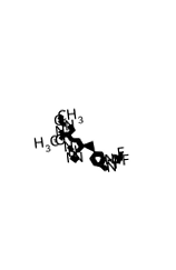 COc1ncc(-c2cc([C@H]3C[C@@H]3c3ccc4cnn(CC(F)(F)F)c4c3)c3ncnn3n2)c(OC)n1